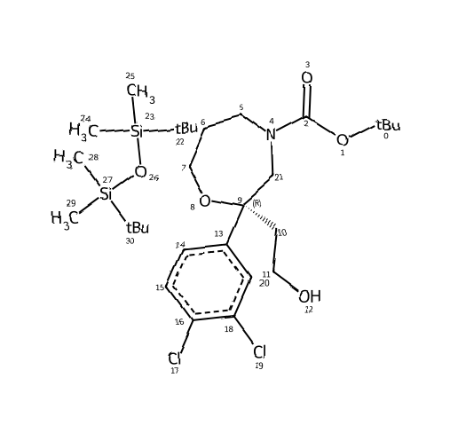 CC(C)(C)OC(=O)N1CCCO[C@](CCO)(c2ccc(Cl)c(Cl)c2)C1.CC(C)(C)[Si](C)(C)O[Si](C)(C)C(C)(C)C